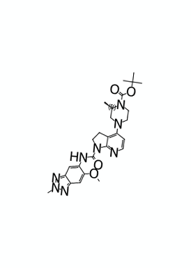 COc1cc2nn(C)nc2cc1NC(=O)N1CCc2c(N3CCN(C(=O)OC(C)(C)C)[C@H](C)C3)ccnc21